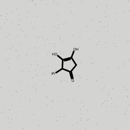 CC(C)C1C(=O)CC(O)=C1O